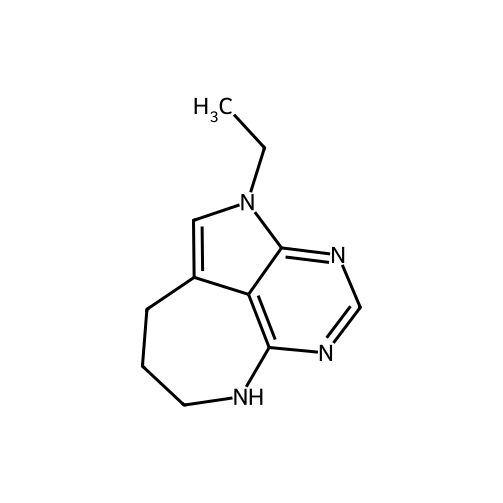 CCn1cc2c3c(ncnc31)NCCC2